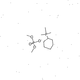 COP(=O)([O-])OC.C[P+](C)(C)C1CCCCC1